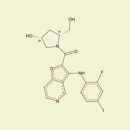 O=C(c1oc2ccncc2c1Nc1ccc(I)cc1F)N1C[C@H](O)C[C@@H]1CO